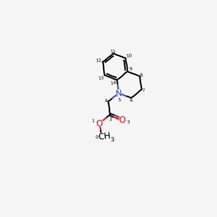 COC(=O)CN1CCCc2ccccc21